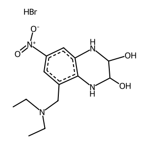 Br.CCN(CC)Cc1cc([N+](=O)[O-])cc2c1NC(O)C(O)N2